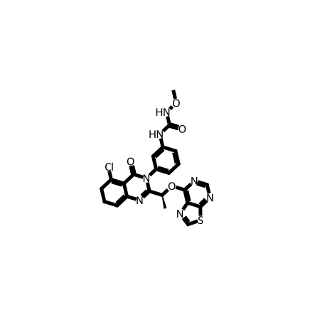 CONC(=O)Nc1cccc(-n2c([C@H](C)Oc3ncnc4scnc34)nc3c(c2=O)=C(Cl)CCC=3)c1